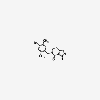 Cc1cc(CN2CCc3cn[nH]c3C2=O)c(C)cc1Br